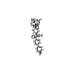 CN1C[C@H]2CCN(c3ccc(NC(=O)c4ccc(-c5ccc(F)cc5)cc4)cc3)[C@H]2C1